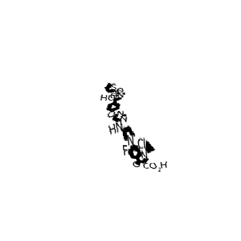 CN(C[C@H](O)c1ccc(Oc2cc(NC3CCN(c4c(F)cc5c(=O)c(C(=O)O)cn(C6CC6)c5c4Cl)C3)ncn2)cc1)S(=O)(=O)c1cccs1